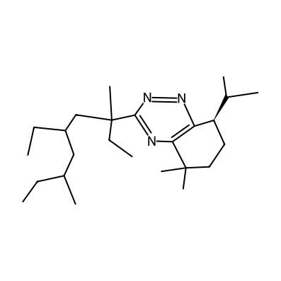 CCC(C)CC(CC)CC(C)(CC)c1nnc2c(n1)C(C)(C)CC[C@@H]2C(C)C